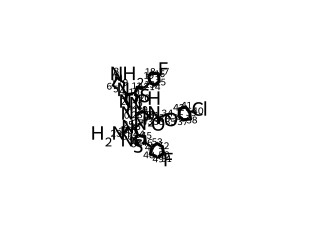 Nc1nc(N2CC[C@@H](N)C2)c2cc(-c3ccc(F)cc3)sc2n1.Nc1nc(N2CC[C@@H](NC(=O)COc3ccc(Cl)cc3)C2)c2cc(-c3ccc(F)cc3)sc2n1